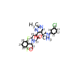 Cc1ncc(C(C)(O)CNc2cccc(Cl)c2)c(C2CCN(C(C=O)c3c(F)cccc3F)CC2)n1